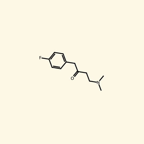 CN(C)CCC(=O)Cc1ccc(F)cc1